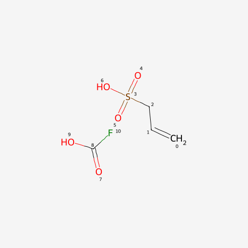 C=CCS(=O)(=O)O.O=C(O)F